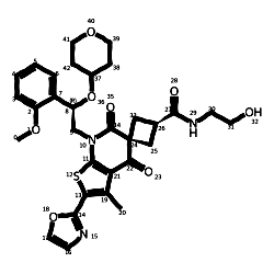 COc1ccccc1[C@H](CN1c2sc(-c3ncco3)c(C)c2C(=O)[C@]2(C[C@H](C(=O)NCCO)C2)C1=O)OC1CCOCC1